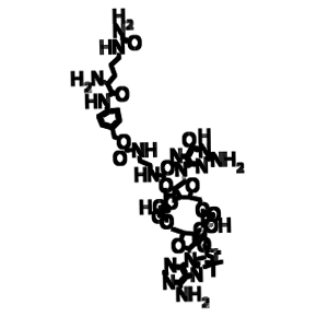 CC(C)(C)[Si](C)(C)OC1[C@@H]2OP(=O)(O)OCC3O[C@@H](n4cnc5c(=O)[nH]c(N)nc54)[C@H](OC(=O)NCCNC(=O)OCc4ccc(NC(=O)[C@@H](N)CCCNC(N)=O)cc4)[C@@H]3OP(=O)(O)OCC2O[C@H]1n1cnc2c(N)ncnc21